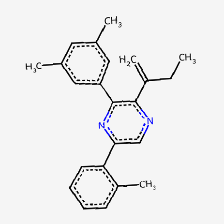 C=C(CC)c1ncc(-c2ccccc2C)nc1-c1cc(C)cc(C)c1